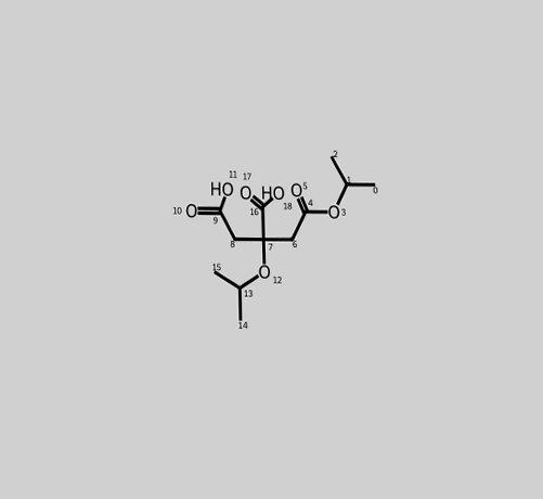 CC(C)OC(=O)CC(CC(=O)O)(OC(C)C)C(=O)O